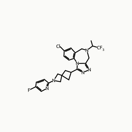 CC(N1Cc2cc(Cl)ccc2-n2c(nnc2C2CC3(C2)CN(c2ccc(F)cn2)C3)C1)C(F)(F)F